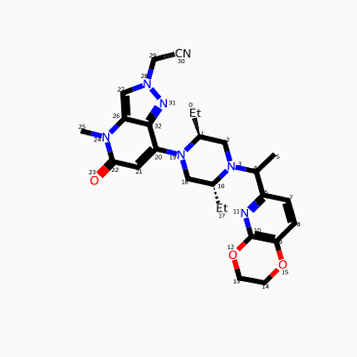 CC[C@H]1CN(C(C)c2ccc3c(n2)OCCO3)[C@H](CC)CN1c1cc(=O)n(C)c2cn(CC#N)nc12